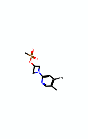 Cc1cnc(N2CC(OS(C)(=O)=O)C2)cc1C#N